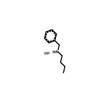 CCC[CH2][AlH][CH2]c1ccccc1.[HH]